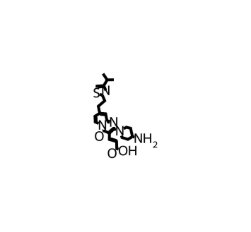 CC(C)c1csc(CCc2ccn3c(=O)c(/C=C/C(=O)O)c(N4CCC(N)CC4)nc3c2)n1